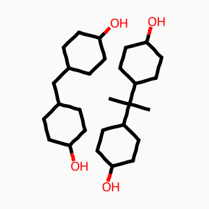 CC(C)(C1CCC(O)CC1)C1CCC(O)CC1.OC1CCC(CC2CCC(O)CC2)CC1